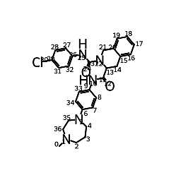 CN1CCCN(c2ccc(NC(=O)C3Cc4ccccc4CN3C(=O)Nc3ccc(Cl)cc3)cc2)CC1